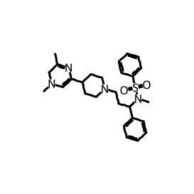 CC1=NC(C2CCN(CCC(c3ccccc3)N(C)S(=O)(=O)c3ccccc3)CC2)=CN(C)C1